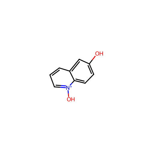 Oc1ccc2c(ccc[n+]2O)c1